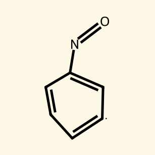 O=Nc1c[c]ccc1